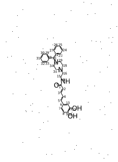 O=C(C=CC=Cc1ccc(O)c(O)c1)NCCN1CCN(C(c2ccccc2)c2ccccc2)CC1